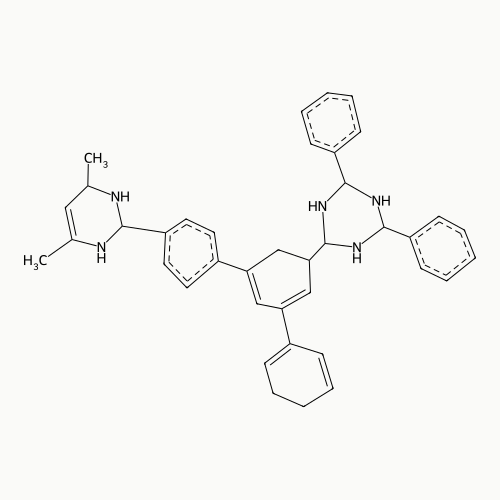 CC1=CC(C)NC(c2ccc(C3=CC(C4=CCCC=C4)=CC(C4NC(c5ccccc5)NC(c5ccccc5)N4)C3)cc2)N1